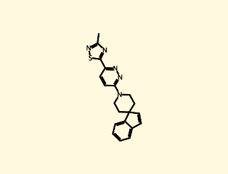 Cc1nsc(-c2ccc(N3CCC4(C=Cc5ccccc54)CC3)nn2)n1